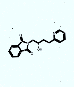 O=C1c2ccccc2C(=O)N1C[C@@H](O)CCc1ccccn1